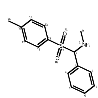 CNC(c1ccccc1)S(=O)(=O)c1ccc(C)cc1